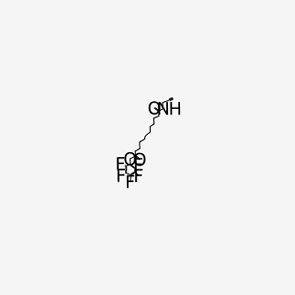 C#CCNC(=O)CCCCCCCCCCC(=O)Oc1c(F)c(F)c(F)c(F)c1F